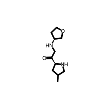 CC1CN[C@H](C(=O)CN[C@H]2CCOC2)C1